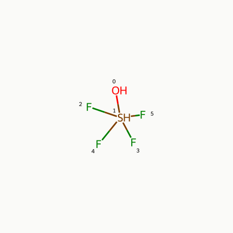 O[SH](F)(F)(F)F